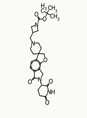 CC(C)(C)OC(=O)N1CC(CN2CCC3(CC2)COc2c3ccc3c2CN([C@@H]2CCC(=O)NC2=O)C3=O)C1